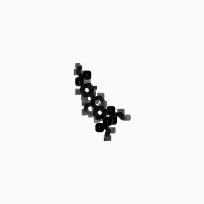 C=CC(=O)Oc1ccc(/C(CC)=C(\CC)c2ccc(OC(=O)C=C)c(OC(=O)C=C)c2)cc1